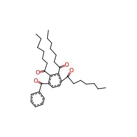 CCCCCCC(=O)c1ccc(C(=O)c2ccccc2)c(C(=O)CCCCCC)c1C(=O)CCCCCC